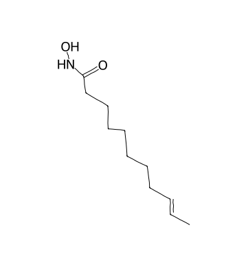 C/C=C/CCCCCCCC(=O)NO